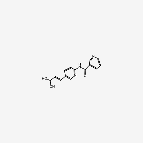 O=C(Nc1ccc(/C=C/C(O)O)cn1)c1cccnc1